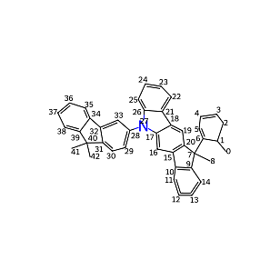 CC1CC=CC=C1C1(C)C2=C(C=C=C=C2)c2cc3c(cc21)c1ccccc1n3-c1ccc2c(c1)-c1ccccc1C2(C)C